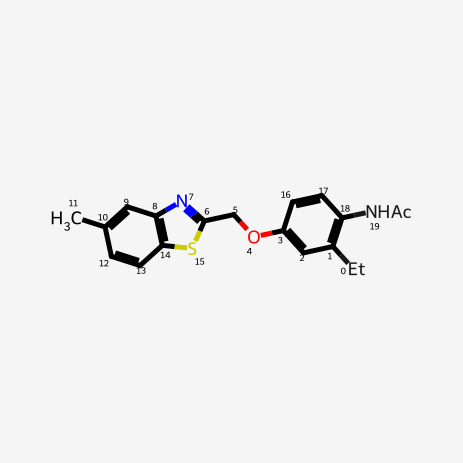 CCc1cc(OCc2nc3cc(C)ccc3s2)ccc1NC(C)=O